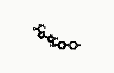 CN1CCN(c2ccc(Nc3cc(-c4ccc(C(N)=O)s4)n[nH]3)cc2)CC1